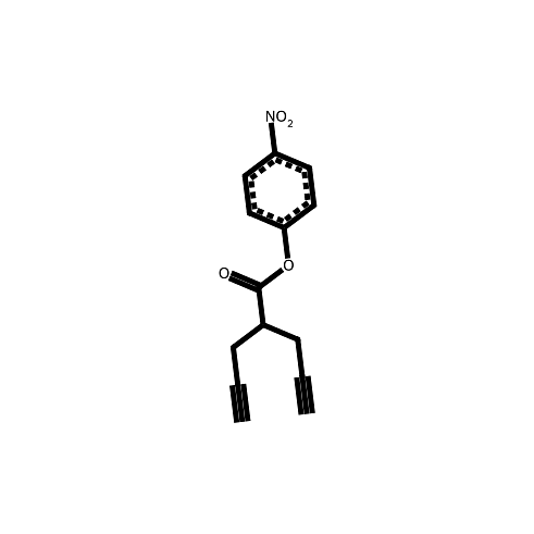 C#CCC(CC#C)C(=O)Oc1ccc([N+](=O)[O-])cc1